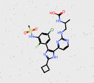 CC(CNc1nccc(-c2[nH]c(C3CCC3)nc2-c2cc(Cl)cc(NS(C)(=O)=O)c2F)n1)NC(=O)O